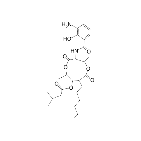 CCCCCCC1C(=O)OC(C)C(NC(=O)c2cccc(N)c2O)C(=O)OC(C)C1OC(=O)CC(C)C